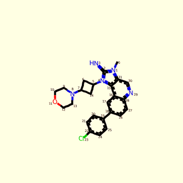 Cn1c(=N)n(C2CC(N3CCOCC3)C2)c2c3cc(-c4ccc(Cl)cc4)ccc3ncc21